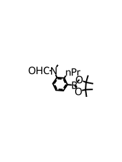 CCCc1c(B2OC(C)(C)C(C)(C)O2)cccc1N(C)C=O